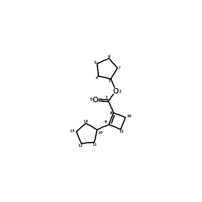 O=C(OC1CCCC1)C1=C(C2CCCC2)CC1